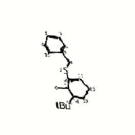 CC1C(SCc2ccccc2)=CCCC1C(C)(C)C